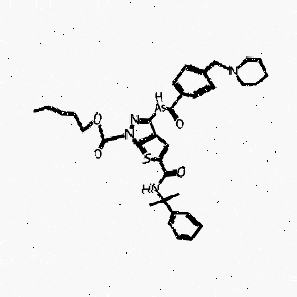 CCCCCOC(=O)n1nc([AsH]C(=O)c2ccc(CN3CCCCC3)cc2)c2cc(C(=O)NC(C)(C)c3ccccc3)sc21